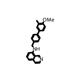 COc1ccc(-c2ccc(CNc3cccc4ccncc34)cc2)cc1C